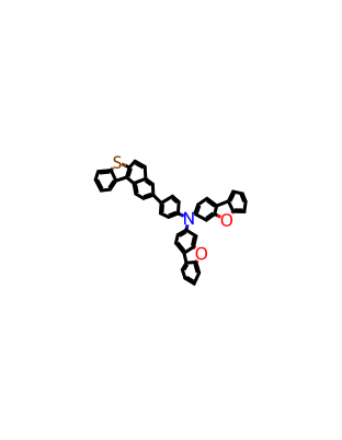 c1ccc2c(c1)oc1cc(N(c3ccc(-c4ccc5c(ccc6sc7ccccc7c65)c4)cc3)c3ccc4c(c3)oc3ccccc34)ccc12